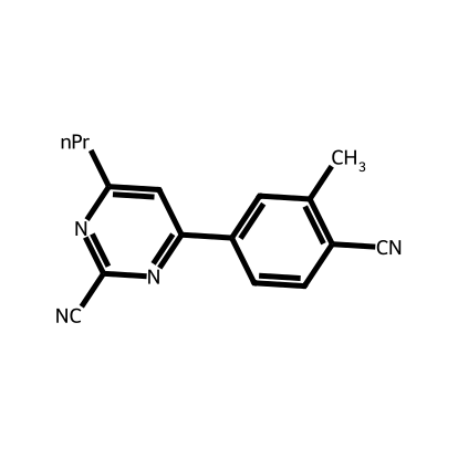 CCCc1cc(-c2ccc(C#N)c(C)c2)nc(C#N)n1